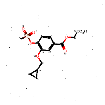 CS(=O)(=O)Oc1ccc(C(=O)OCC(=O)O)cc1OCC1CC1